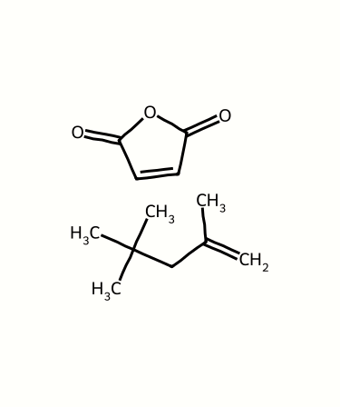 C=C(C)CC(C)(C)C.O=C1C=CC(=O)O1